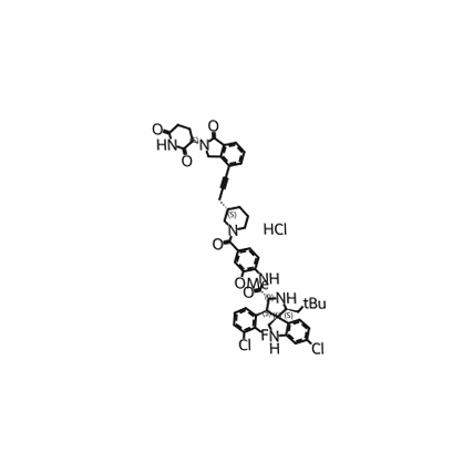 COc1cc(C(=O)N2CCC[C@@H](CC#Cc3cccc4c3CN([C@H]3CCC(=O)NC3=O)C4=O)C2)ccc1NC(=O)[C@@H]1N[C@@H](CC(C)(C)C)[C@@]2(CNc3cc(Cl)ccc32)[C@H]1c1cccc(Cl)c1F.Cl